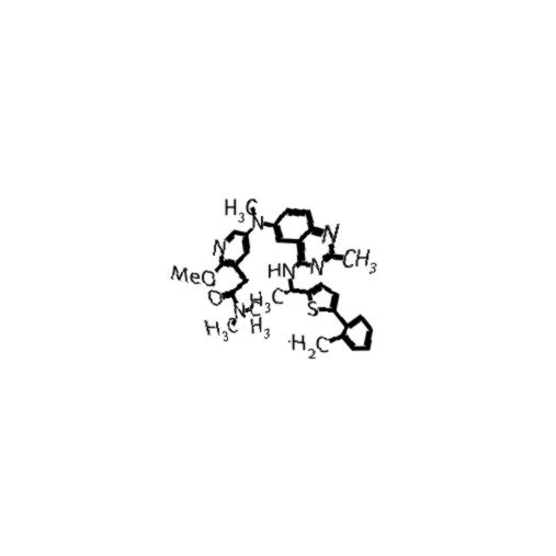 [CH2]c1ccccc1-c1ccc([C@@H](C)Nc2nc(C)nc3ccc(N(C)c4cnc(OC)c(CC(=O)N(C)C)c4)cc23)s1